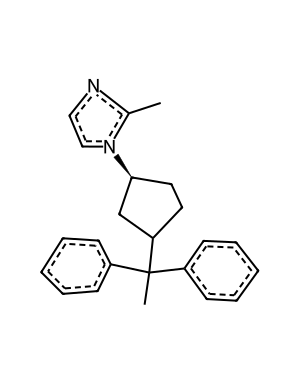 Cc1nccn1[C@H]1CCC(C(C)(c2ccccc2)c2ccccc2)C1